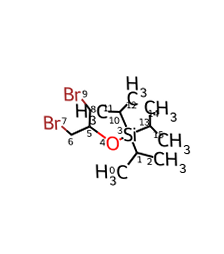 CC(C)[Si](OC(CBr)CBr)(C(C)C)C(C)C